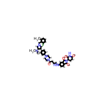 Cc1cccc(F)c1CN1C[C@H](c2ccc(N3CCN(C(=O)CCCNc4ccc5c(c4)C(=O)N(C4CCC(=O)NC4=O)C5=O)CC3)cc2)[C@@H](N(C)C)C1